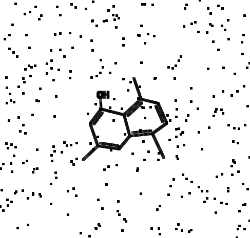 Cc1cc(O)c2c(C)ccc(C)c2c1